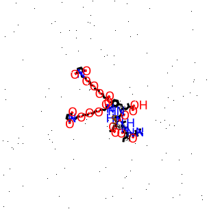 CC[C@H](C)[C@H](NC(=O)C(C)(C)N(C)C)C(=O)N(C)[C@H](C[C@@H](OC(C)=O)c1nc(C(=O)N[C@@H](Cc2ccc(OC(=O)CCOCCOCCOCCN3C(=O)C=CC3=O)c(NC(=O)CCOCCOCCOCCN3C(=O)C=CC3=O)c2)CC(C)C(=O)O)cs1)C(C)C